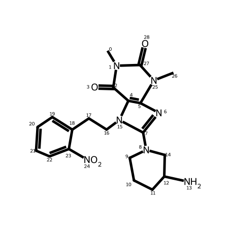 Cn1c(=O)c2c(nc(N3CCCC(N)C3)n2CCc2ccccc2[N+](=O)[O-])n(C)c1=O